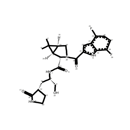 CC1(C)[C@@H]2[C@@H](C(=O)N[C@H](CO)C[C@@H]3CCNC3=O)N(C(=O)c3cc4c(F)ccc(F)c4[nH]3)C[C@@H]21